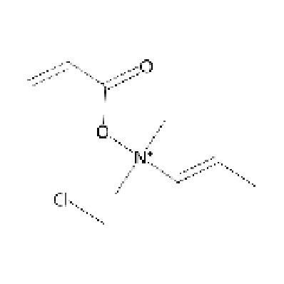 C=CC(=O)O[N+](C)(C)C=CC.CCl